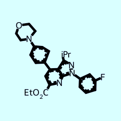 CCOC(=O)c1cc(-c2ccc(N3CCOCC3)cc2)c2c(C(C)C)nn(-c3cccc(F)c3)c2n1